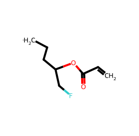 [CH2]CCC(CF)OC(=O)C=C